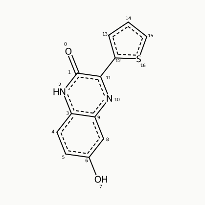 O=c1[nH]c2ccc(O)cc2nc1-c1cccs1